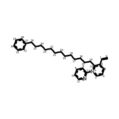 C=Cc1ccc[n+](-c2ccccn2)c1CCCCCCCCCCCCCc1ccccc1